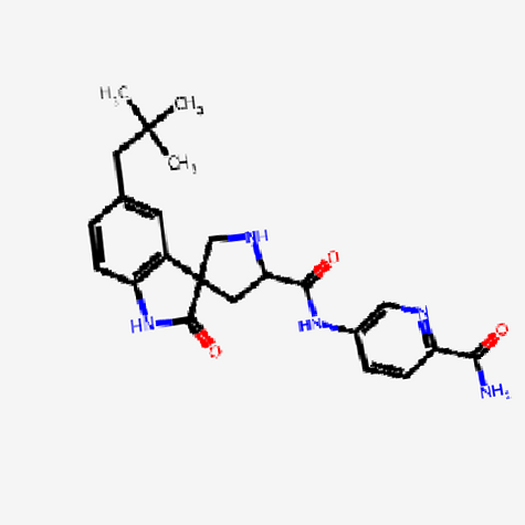 CC(C)(C)Cc1ccc2c(c1)C1(CNC(C(=O)Nc3ccc(C(N)=O)nc3)C1)C(=O)N2